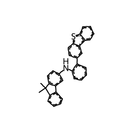 CC1(C)c2ccccc2-c2cc(Nc3ccccc3-c3ccc4sc5ccccc5c4c3)ccc21